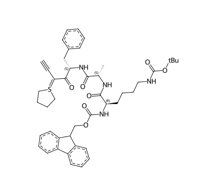 C#CC(C(=O)[C@H](Cc1ccccc1)NC(=O)[C@H](C)NC(=O)[C@@H](CCCCNC(=O)OC(C)(C)C)NC(=O)OCC1c2ccccc2-c2ccccc21)=S1CCCC1